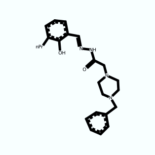 CCCc1cccc(C=NNC(=O)CN2CCN(Cc3ccccc3)CC2)c1O